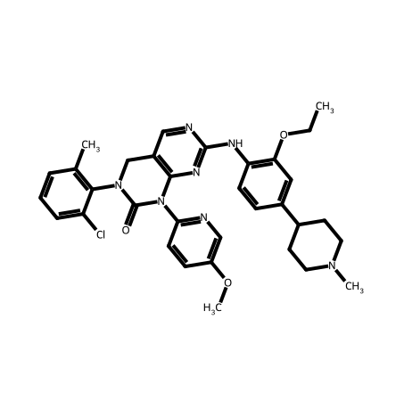 CCOc1cc(C2CCN(C)CC2)ccc1Nc1ncc2c(n1)N(c1ccc(OC)cn1)C(=O)N(c1c(C)cccc1Cl)C2